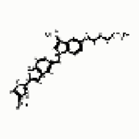 CCOC(=O)CCCOc1ccc2c(c1)c(C=O)cn2Cc1ccc2oc(-c3nc(C(C)(C)C)cs3)cc2c1